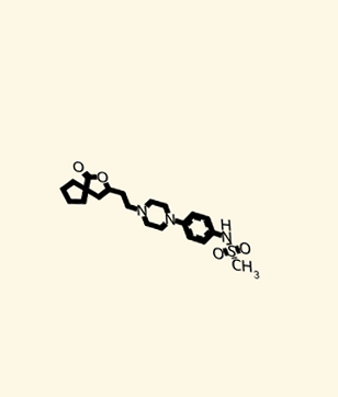 CS(=O)(=O)Nc1ccc(N2CCN(CCC3CC4(CCCC4)C(=O)O3)CC2)cc1